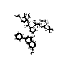 C=C[C@@](CC)(NC(=O)[C@@H]1C[C@@H](Oc2cc(-c3ccccc3)nc3cc(OC)ccc23)CN1C(=O)[C@H](CN)NC(=O)OC(C)(C)C)C(=O)OCC